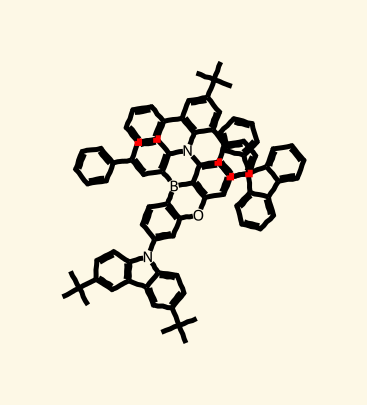 CC(C)(C)c1cc(-c2ccccc2)c(N2c3ccc(-c4ccccc4)cc3B3c4ccc(-n5c6ccc(C(C)(C)C)cc6c6cc(C(C)(C)C)ccc65)cc4Oc4cc(C5(c6ccccc6)c6ccccc6-c6ccccc65)cc2c43)c(-c2ccccc2)c1